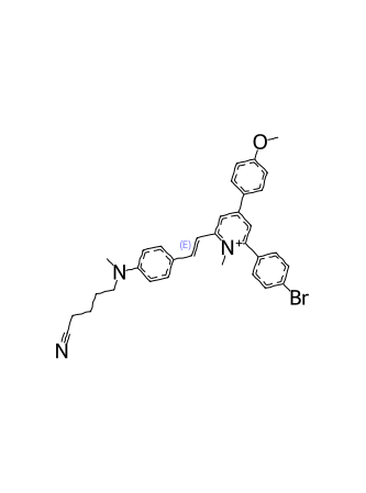 COc1ccc(-c2cc(/C=C/c3ccc(N(C)CCCCC#N)cc3)[n+](C)c(-c3ccc(Br)cc3)c2)cc1